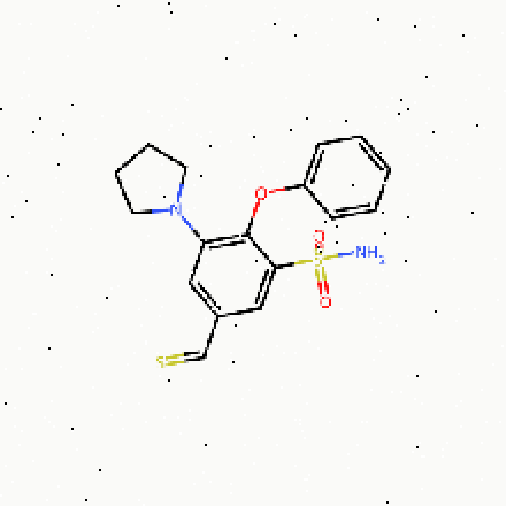 NS(=O)(=O)c1cc(C=S)cc(N2CCCC2)c1Oc1ccccc1